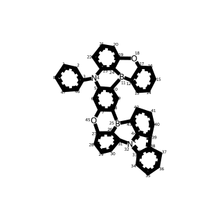 c1ccc(N2c3cc4c(cc3B3c5ccccc5Oc5cccc2c53)B2c3c(cccc3-n3c5ccccc5c5cccc2c53)O4)cc1